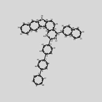 c1ccc(-c2ccc(-c3ccc(-c4nc(-c5ccc6ccccc6c5)c5ccc6sc7cc8ccccc8cc7c6c5n4)cc3)cc2)cc1